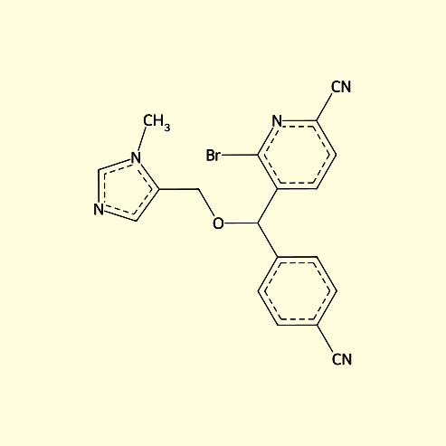 Cn1cncc1COC(c1ccc(C#N)cc1)c1ccc(C#N)nc1Br